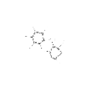 Cc1c(Cl)c(Cl)c(Cl)c(Cl)c1Nc1c([N+](=O)[O-])cc([N+](=O)[O-])cc1C(F)(F)F